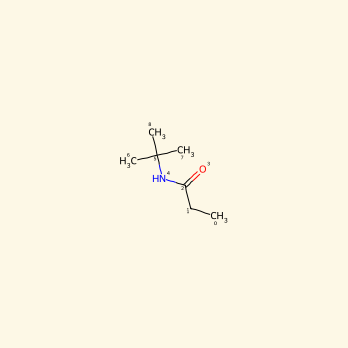 C[CH]C(=O)NC(C)(C)C